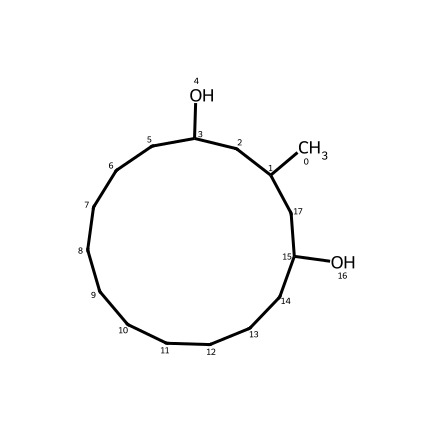 CC1CC(O)CCCCCCCCCCC(O)C1